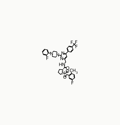 Cc1ccc(F)cc1S(=O)(=O)N1CCC[C@H]1C(=O)NCc1cc(-c2ccc(C(F)(F)F)cc2)nc(N2CCN(c3ccccc3F)CC2)n1